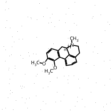 COc1ccc2c(c1OC)-c1cccc3c1[C@@H](C2)N(C)CC3